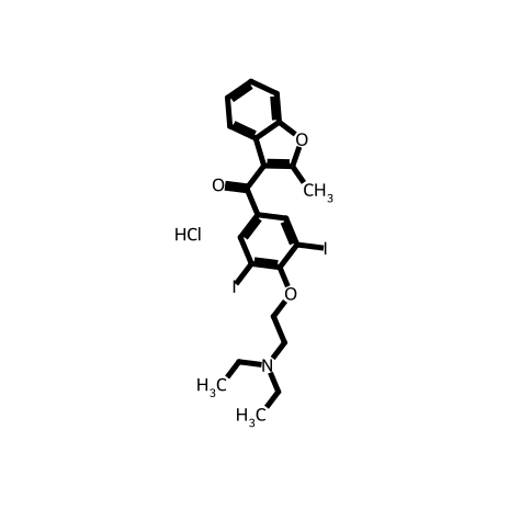 CCN(CC)CCOc1c(I)cc(C(=O)c2c(C)oc3ccccc23)cc1I.Cl